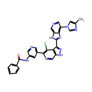 Cc1cn(-c2cncc3[nH]c(-c4n[nH]c5cnc(-c6cncc(NC(=O)c7ccccc7)c6)c(F)c45)nc23)cn1